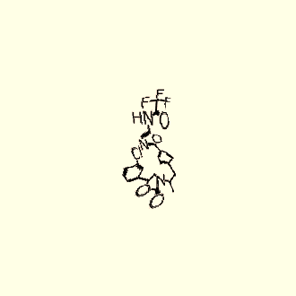 CC(Cc1ccc(-c2ncc(NC(=O)C(F)(F)F)o2)cc1)N1CC(c2cccc(Cl)c2)OC1=O